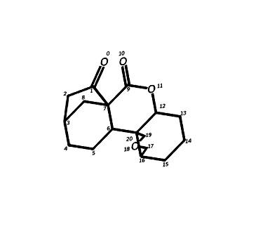 O=C1CC2CCC3C1(C2)C(=O)OC1CCCC2COCC213